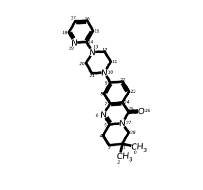 CC1(C)CCc2nc3cc(N4CCN(c5ccccn5)CC4)ccc3c(=O)n2C1